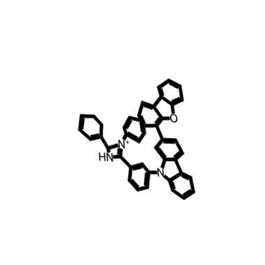 C1=CCCC(C2NC(c3cccc(-n4c5ccccc5c5ccc(-c6cccc7c6oc6ccccc67)cc54)c3)=[N+]2c2ccccc2)=C1